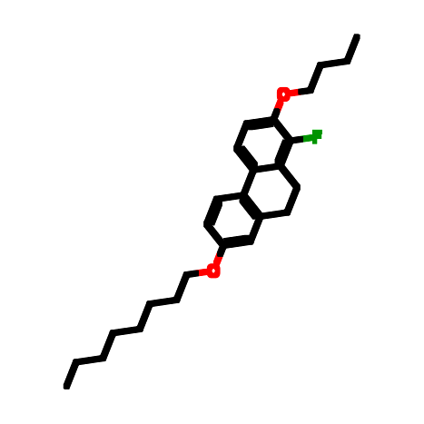 CCCCCCCCOc1ccc2c(c1)CCc1c-2ccc(OCCCC)c1F